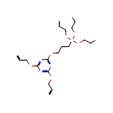 C=CCOc1nc(OCC=C)nc(OCCC[Si](OCCC)(OCCC)OCCC)n1